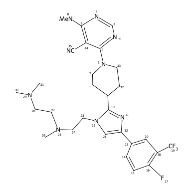 CNc1ncnc(N2CCC(c3nc(-c4ccc(F)c(C(F)(F)F)c4)cn3CCN(C)CCN(C)C)CC2)c1C#N